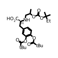 CCC(C)(C)OC(=O)OC(C)CN[C@@H](Cc1ccc(OC(=O)C(C)(C)C)c(OC(=O)C(C)(C)C)c1)C(=O)O